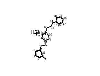 Cc1cccc(CCN2CCN(CCCc3ccccc3)CC2)c1.Cl.Cl